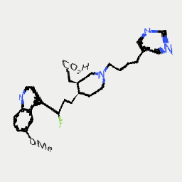 COc1ccc2nccc([C@H](F)CC[C@@H]3CCN(CCCCc4cncnc4)C[C@@H]3CC(=O)O)c2c1